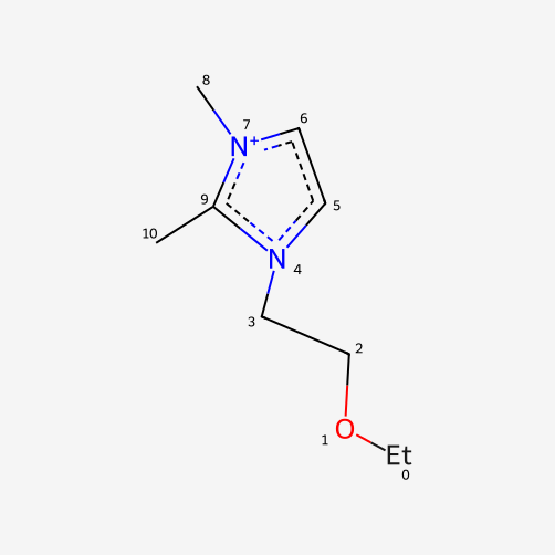 CCOCCn1cc[n+](C)c1C